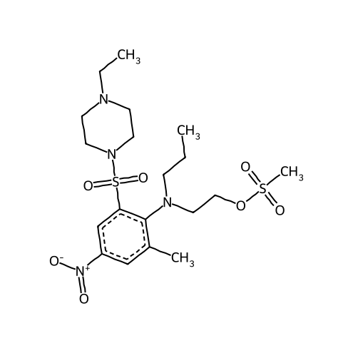 CCCN(CCOS(C)(=O)=O)c1c(C)cc([N+](=O)[O-])cc1S(=O)(=O)N1CCN(CC)CC1